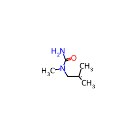 C[C](C)CN(C)C(N)=O